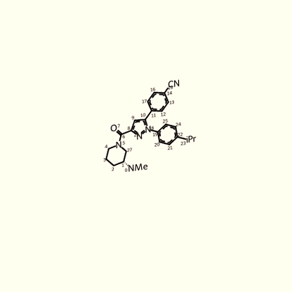 CN[C@@H]1CCCN(C(=O)c2cc(-c3ccc(C#N)cc3)n(-c3ccc(C(C)C)cc3)n2)C1